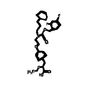 CCOC(Cc1ccc(OCCN(CCCC2CCCCC2)C(=O)OCc2ccc(F)cc2F)cc1)C(=O)O